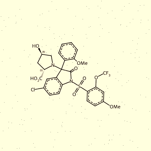 COc1ccc(S(=O)(=O)N2C(=O)C(c3ccccc3OC)(N3C[C@H](O)C[C@H]3C(=O)O)c3cc(Cl)ccc32)c(OC(F)(F)F)c1